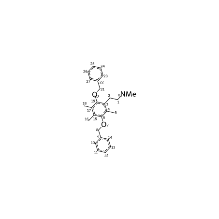 CNCCc1c(C)c(OCc2ccccc2)c(C)c(C)c1OCc1ccccc1